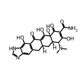 CN(C)[C@@H]1C(O)=C(C(N)=O)C(=O)[C@@]2(O)C(O)=C3C(=O)c4c(cc5nc[nH]c5c4O)C[C@H]3C[C@@H]12